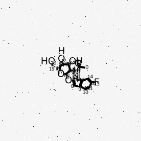 CC(=O)N[C@H]1[C@H](Oc2cc3ccc(F)cc3[nH]2)O[C@H](CO)[C@@H](O)[C@@H]1O